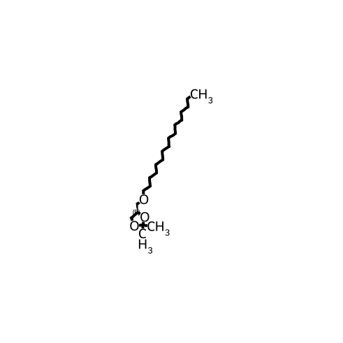 CCCCCCCCCCCCCCCCOC[C@@H]1COC(C)(C)O1